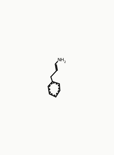 NC=CCc1ccccc1